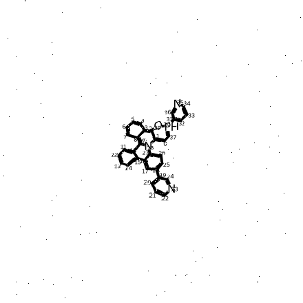 C1=C2C(=c3ccccc3=C3c4ccccc4-c4cc(-c5cccnc5)ccc4N23)O[PH](c2cccnc2)=C1